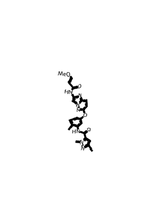 CO/C=C/C(=O)Nc1cn2nc(Oc3ccc(C)c(NC(=O)c4cc(C)nn4C)c3)ccc2n1